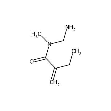 C=C(CC)C(=O)N(C)CN